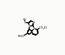 CCOC(=O)C1=CC=CC23CC=C(OC)C=C2n2c(SC(C)=O)cnc2N13